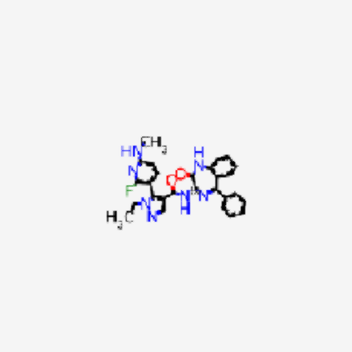 CCn1ncc(C(=O)N[C@H]2N=C(c3ccccc3)c3ccccc3NC2=O)c1-c1ccc(NC)nc1F